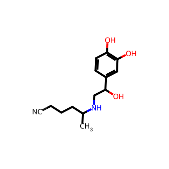 CC(CCCC#N)NCC(O)c1ccc(O)c(O)c1